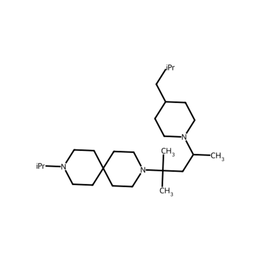 CC(C)CC1CCN(C(C)CC(C)(C)N2CCC3(CCN(C(C)C)CC3)CC2)CC1